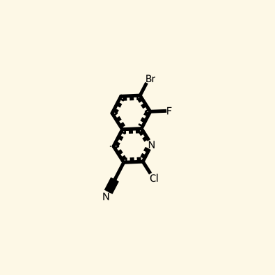 N#Cc1[c]c2ccc(Br)c(F)c2nc1Cl